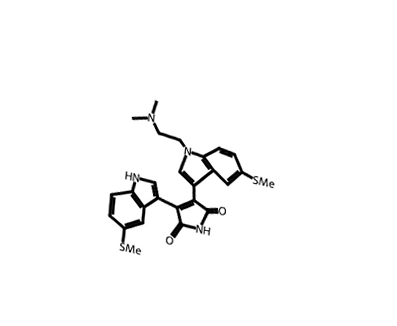 CSc1ccc2[nH]cc(C3=C(c4cn(CCN(C)C)c5ccc(SC)cc45)C(=O)NC3=O)c2c1